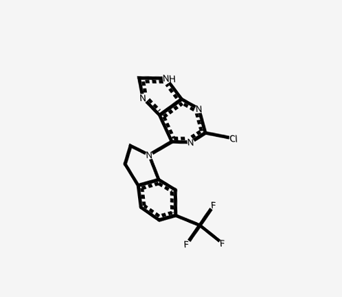 FC(F)(F)c1ccc2c(c1)N(c1nc(Cl)nc3[nH]cnc13)CC2